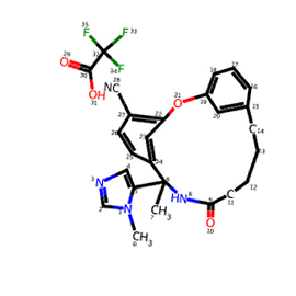 Cn1cncc1C1(C)NC(=O)CCCCc2cccc(c2)Oc2cc1ccc2C#N.O=C(O)C(F)(F)F